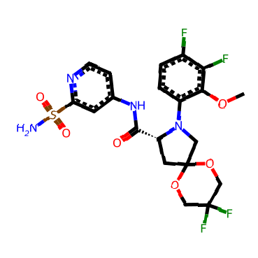 COc1c(N2CC3(C[C@@H]2C(=O)Nc2ccnc(S(N)(=O)=O)c2)OCC(F)(F)CO3)ccc(F)c1F